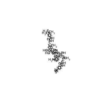 CC(=O)N(CCCNC(=O)Nc1ccc(C(C)(C)C)cc1)C[C@H]1O[C@@H](n2cnc3c(NO[C@@H]4[C@H](O)[C@@H](CN(C)CCCNC(=O)Nc5ccc(-c6cscn6)cc5)O[C@H]4n4cnc5c(N)ncnc54)ncnc32)[C@H](O)[C@@H]1O